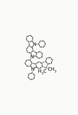 CC1(C)c2ccccc2-c2cc3c4c(-n5c6ccccc6c6c5ccc5c7ccccc7n(-c7ccccc7)c56)cccc4n(-c4ccccc4)c3cc21